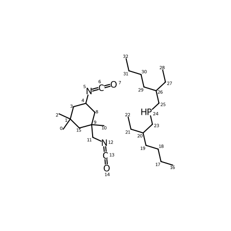 CC1(C)CC(N=C=O)CC(C)(CN=C=O)C1.CCCCC(CC)CPCC(CC)CCCC